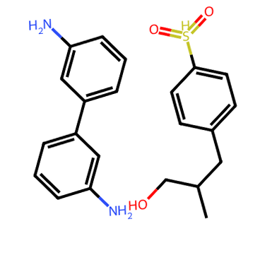 CC(CO)Cc1ccc([SH](=O)=O)cc1.Nc1cccc(-c2cccc(N)c2)c1